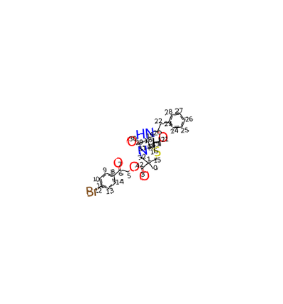 CC1(C(=O)OCC(=O)c2ccc(Br)cc2)CS[C@@H]2C(NC(=O)Cc3ccccc3)C(=O)N2C1